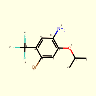 CC(C)Oc1cc(Br)c(C(F)(F)F)cc1N